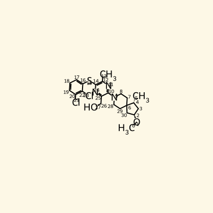 CO[C@@H]1C[C@@H](C)C2(CCN(c3nc(C)c(Sc4cccc(Cl)c4Cl)nc3CO)CC2)C1